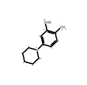 Cc1ccc(N2CCCCC2)cc1C=O